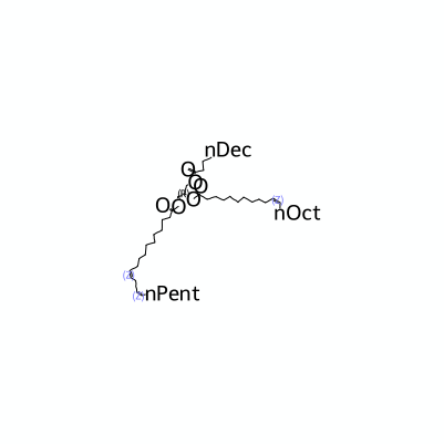 CCCCC/C=C\C/C=C\CCCCCCCCCC(=O)OC[C@@H](COC(=O)CCCCCCCCCCCCC)OC(=O)CCCCCCCCC/C=C\CCCCCCCC